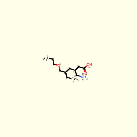 CCCOCC(CC)CC(CN)CC(=O)O